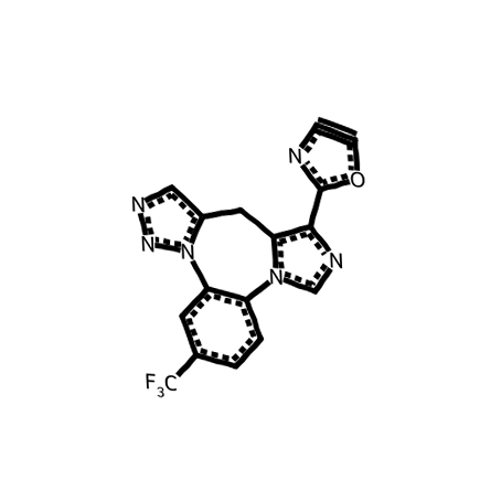 FC(F)(F)c1ccc2c(c1)-n1nncc1Cc1c(-c3nc#co3)ncn1-2